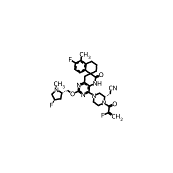 C=C(F)C(=O)N1CCN(c2nc(OC[C@@H]3C[C@@H](F)CN3C)nc3c2NC(=O)C2(CCCc4c2ccc(F)c4C)C3)C[C@@H]1CC#N